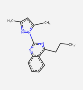 [CH2]CCc1nc(-n2nc(C)cc2C)nc2ccccc12